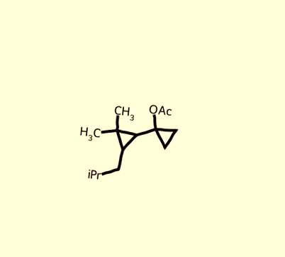 CC(=O)OC1(C2C(CC(C)C)C2(C)C)CC1